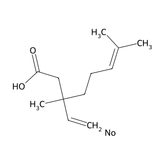 C=CC(C)(CCC=C(C)C)CC(=O)O.[No]